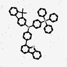 CC1(C)c2ccccc2-c2ccc(N(c3ccc(-c4cccc5c4oc4ccccc45)cc3)c3ccc([Si](c4ccccc4)(c4ccccc4)c4ccccc4)cc3)cc21